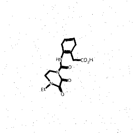 CCN1CCN(C(=O)NC2=C(CC(=O)O)CC=CC2)C(=O)C1=O